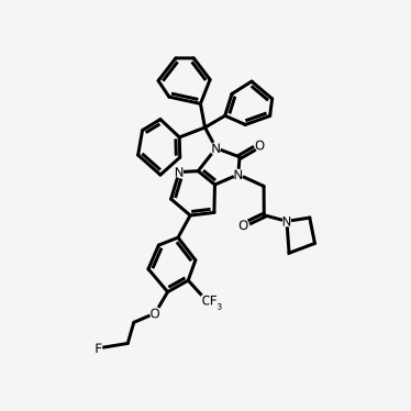 O=C(Cn1c(=O)n(C(c2ccccc2)(c2ccccc2)c2ccccc2)c2ncc(-c3ccc(OCCF)c(C(F)(F)F)c3)cc21)N1CCC1